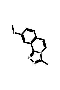 COc1ccc2ccn3c(C)nnc3c2c1